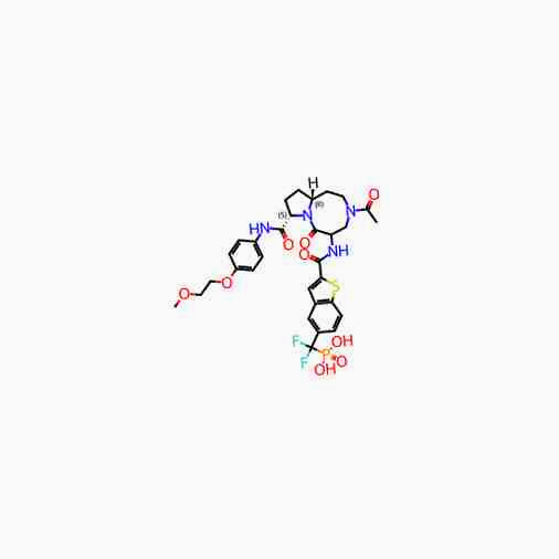 COCCOc1ccc(NC(=O)[C@@H]2CC[C@@H]3CCN(C(C)=O)CC(NC(=O)c4cc5cc(C(F)(F)P(=O)(O)O)ccc5s4)C(=O)N32)cc1